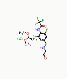 COC(C)OC.Cl.O=CCNCc1cc(F)c(NC(=O)C(F)(F)F)c(F)c1